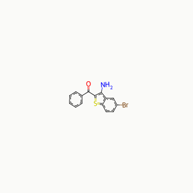 Nc1c(C(=O)c2ccccc2)sc2ccc(Br)cc12